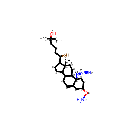 CC(C)(O)CCCC(S)C1CCC2C3CC=C4CC(ON)CCC4(N=[N+]=[N-])C3CCC12C